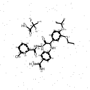 CCOc1cc(C(Nc2ccc(C(=N)N)cc2)C(=O)NNC(=O)c2cccc(Cl)n2)ccc1OC(C)C.O=C(O)C(F)(F)F